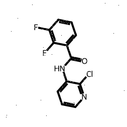 O=C(Nc1cccnc1Cl)c1cccc(F)c1F